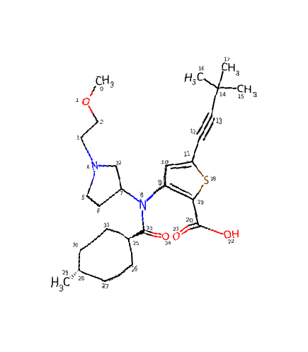 COCCN1CCC(N(c2cc(C#CC(C)(C)C)sc2C(=O)O)C(=O)[C@H]2CC[C@H](C)CC2)C1